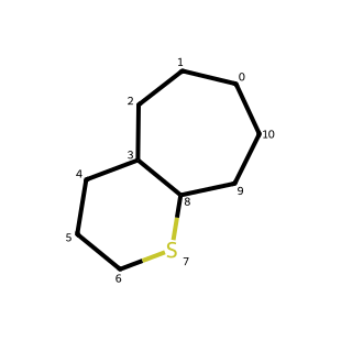 C1CCC2CCCSC2CC1